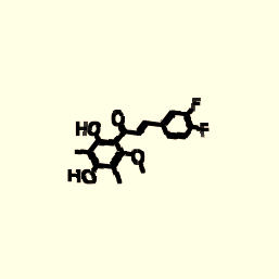 COc1c(C)c(O)c(C)c(O)c1C(=O)/C=C/c1ccc(F)c(F)c1